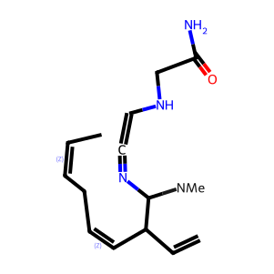 C=CC(/C=C\C/C=C\C)C(N=C=CNCC(N)=O)NC